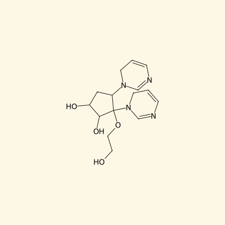 OCCOC1(N2C=NC=CC2)C(O)C(O)CC1N1C=NC=CC1